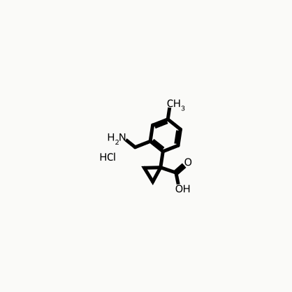 Cc1ccc(C2(C(=O)O)CC2)c(CN)c1.Cl